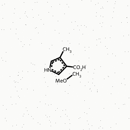 COC.Cc1c[nH]cc1C(=O)O